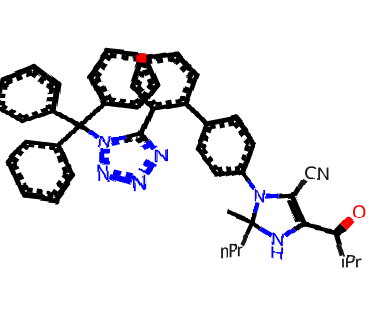 CCCC1(C)NC(C(=O)C(C)C)=C(C#N)N1c1ccc(-c2ccccc2-c2nnnn2C(c2ccccc2)(c2ccccc2)c2ccccc2)cc1